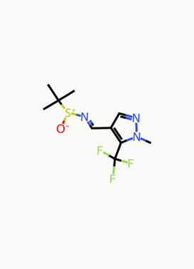 Cn1ncc(C=N[S+]([O-])C(C)(C)C)c1C(F)(F)F